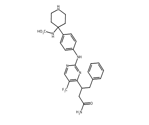 NC(=O)CC(Cc1ccccc1)c1nc(Nc2ccc(C3(NC(=O)O)CCNCC3)cc2)ncc1C(F)(F)F